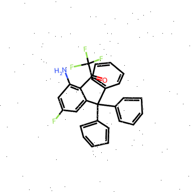 Nc1cc(F)cc(C(c2ccccc2)(c2ccccc2)c2ccccc2)c1C(=O)C(F)(F)F